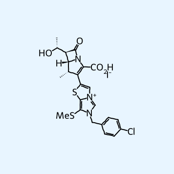 CSc1c2sc(C3=C(C(=O)O)N4C(=O)[C@H]([C@@H](C)O)[C@H]4[C@H]3C)c[n+]2cn1Cc1ccc(Cl)cc1.[I-]